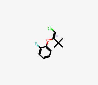 CC(C)(C)/C(=C/Cl)Oc1ccccc1F